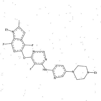 CCN1CCN(c2ccc(Nc3ncnc(Oc4cc(F)c5c(cc(C)n5CC)c4F)c3F)nc2)CC1